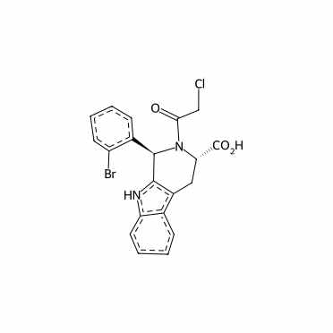 O=C(O)[C@@H]1Cc2c([nH]c3ccccc23)[C@@H](c2ccccc2Br)N1C(=O)CCl